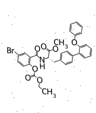 CCOC(=O)Oc1ccc(Br)cc1C(=O)N[C@@H](Cc1ccc(-c2ccccc2Oc2ccccc2)cc1)C(=O)OC